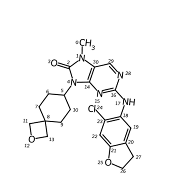 Cn1c(=O)n(C2CCC3(CC2)COC3)c2nc(Nc3cc4c(cc3Cl)OCC4)ncc21